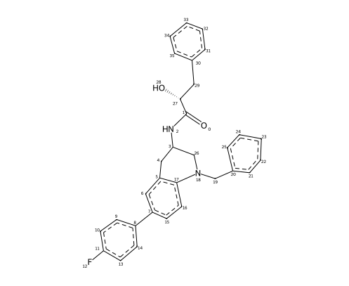 O=C(NC1Cc2cc(-c3ccc(F)cc3)ccc2N(Cc2ccccc2)C1)[C@H](O)Cc1ccccc1